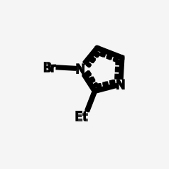 CCc1nccn1Br